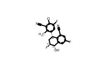 Cc1c([C@H]2C[C@H](F)[C@@H](O)c3cc(F)cc(C#N)c32)cc(F)c(Cl)c1C#N